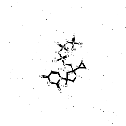 O=c1ccn(C2(Cl)CO[C@@](COP(=O)(O)OP(=O)(O)OP(=O)(O)O)(C3CC3)[C@H]2O)c(=O)[nH]1